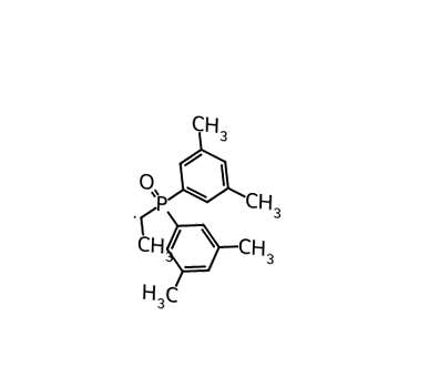 C[CH]P(=O)(c1cc(C)cc(C)c1)c1cc(C)cc(C)c1